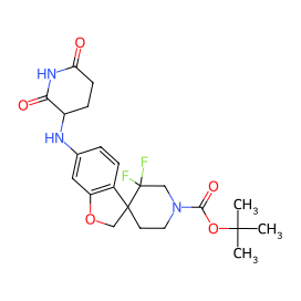 CC(C)(C)OC(=O)N1CCC2(COc3cc(NC4CCC(=O)NC4=O)ccc32)C(F)(F)C1